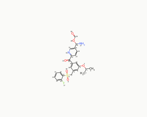 CC(C)Oc1cc(CS(=O)(=O)c2ccccc2F)cc(C(=O)c2ccc(C(N)OC=O)cn2)c1